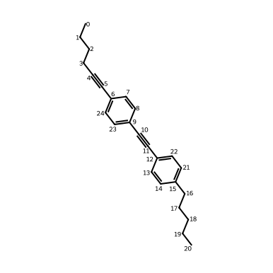 CCCCC#Cc1ccc(C#Cc2ccc(CCCCC)cc2)cc1